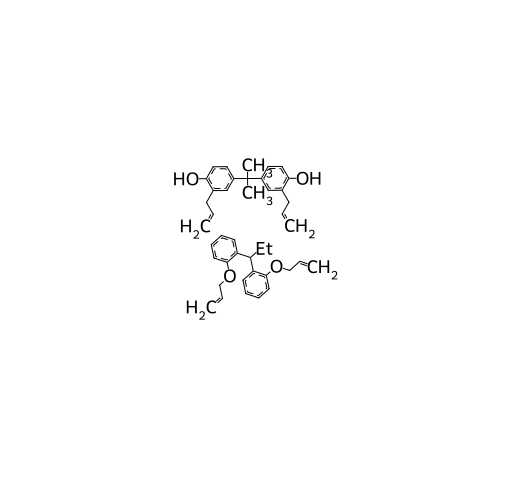 C=CCOc1ccccc1C(CC)c1ccccc1OCC=C.C=CCc1cc(C(C)(C)c2ccc(O)c(CC=C)c2)ccc1O